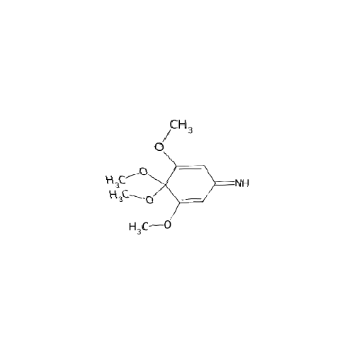 COC1=CC(=N)C=C(OC)C1(OC)OC